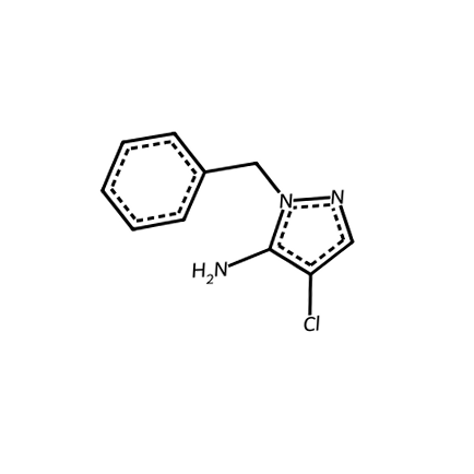 Nc1c(Cl)cnn1Cc1ccccc1